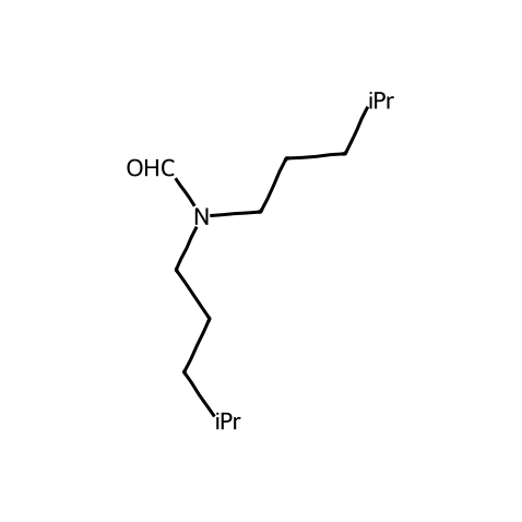 CC(C)CCCN(C=O)CCCC(C)C